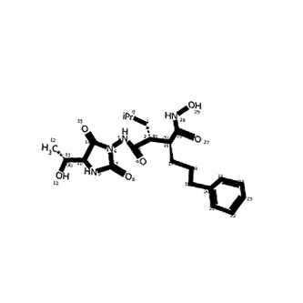 CC(C)C[C@@H](C(=O)NN1C(=O)NC([C@@H](C)O)C1=O)[C@H](CCCc1ccccc1)C(=O)NO